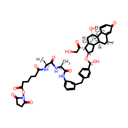 C[C@H](NC(=O)CCCCC(=O)ON1C(=O)CCC1=O)C(=O)N[C@@H](C)C(=O)Nc1cccc(Cc2ccc([C@@H](O)O[C@@H]3CC4[C@@H]5C[C@H](F)C6=CC(=O)C=C[C@]6(C)[C@@]5(F)[C@@H](O)C[C@]4(C)[C@H]3C(=O)CO)cc2)c1